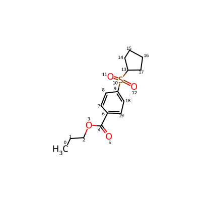 CCCOC(=O)c1ccc(S(=O)(=O)C2CCCC2)cc1